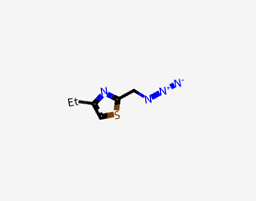 CCc1csc(CN=[N+]=[N-])n1